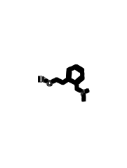 CCOCCc1ccccc1CN(C)C